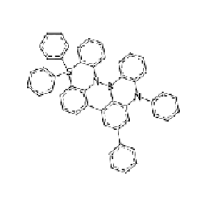 c1ccc(-c2cc3c4c(c2)N(c2ccccc2)c2ccccc2B4N2c4ccccc4[Si](c4ccccc4)(c4ccccc4)c4cccc-3c42)cc1